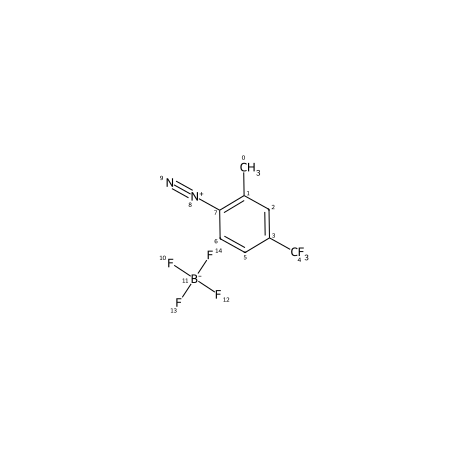 Cc1cc(C(F)(F)F)ccc1[N+]#N.F[B-](F)(F)F